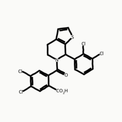 O=C(O)c1cc(Cl)c(Cl)cc1C(=O)N1CCc2ccsc2C1c1cccc(Cl)c1Cl